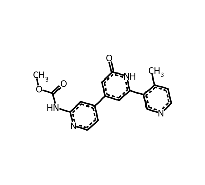 COC(=O)Nc1cc(-c2cc(-c3cnccc3C)[nH]c(=O)c2)ccn1